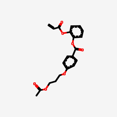 C=CC(=O)Oc1ccccc1OC(=O)c1ccc(OCCCOC(C)=O)cc1